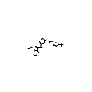 Cc1cc(C(C)(F)F)nn1CC(=O)Nc1cncc(C(=O)c2cn([C@@H](C)CO)c3ncncc23)c1